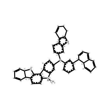 C[SiH]1c2cc(N(c3cccc(C4C=CC=C5C=CC=CC54)c3)c3ccc4c5c(oc4c3)CCC=C5)ccc2-c2c1ccc1c2OC2C=CC=CC12